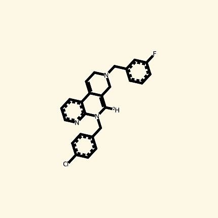 [2H]C1=C2CN(Cc3cccc(F)c3)CC=C2c2cccnc2N1Cc1ccc(Cl)cc1